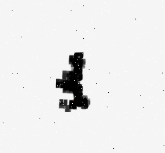 NC1c2cc1c1c(c2OCC(=O)NC23CCC(NC(=O)COc4ccc(Cl)c(F)c4)(CC2)C[C@@H]3O)CCS1